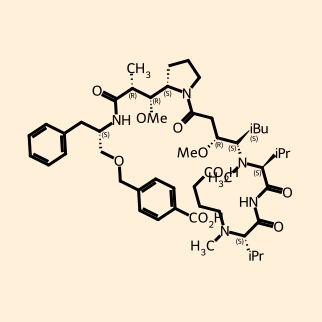 CC[C@H](C)[C@@H]([C@@H](CC(=O)N1CCC[C@H]1[C@H](OC)[C@@H](C)C(=O)N[C@H](COCc1ccc(C(=O)O)cc1)Cc1ccccc1)OC)N(C)[C@H](C(=O)NC(=O)[C@H](C(C)C)N(C)CCCC(=O)O)C(C)C